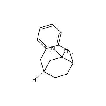 CC1(N)C[C@H]2CCC1Cc1ccccc1C2